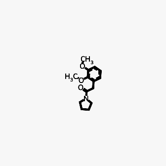 COc1cccc(CC(=O)N2CCCC2)c1OC